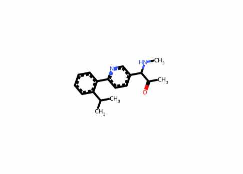 CNC(C(C)=O)c1ccc(-c2ccccc2C(C)C)nc1